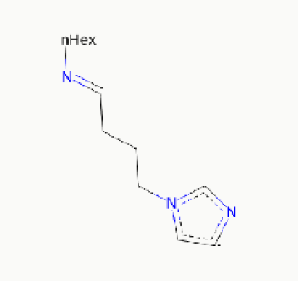 CCCCCCN=CCCCn1c[c]nc1